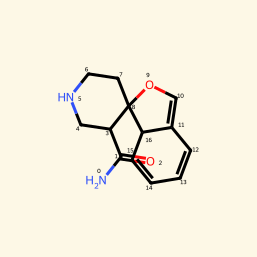 NC(=O)C1CNCCC12OC=C1C=CC=CC12